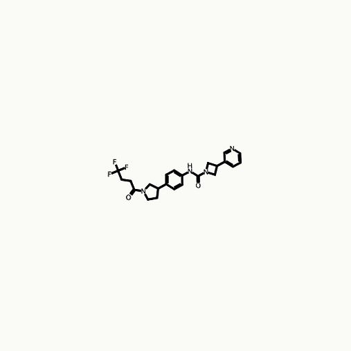 O=C(CCC(F)(F)F)N1CCC(c2ccc(NC(=O)N3CC(c4cccnc4)C3)cc2)C1